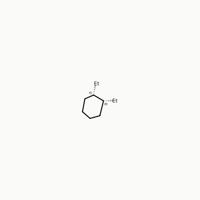 CC[C@@H]1CCCC[C@@H]1CC